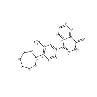 Nc1cc(-c2n[nH]c(=O)c3ccccc23)ccc1N1CCCCCC1